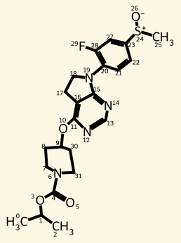 CC(C)OC(=O)N1CCC(Oc2ncnc3c2CCN3c2ccc([S+](C)[O-])cc2F)CC1